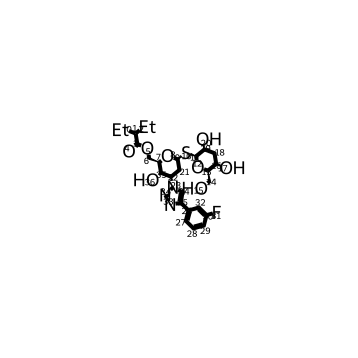 CCC(CC)C(=O)OC[C@H]1O[C@@H](S[C@@H]2O[C@H](CO)[C@H](O)C[C@H]2O)C[C@@H](n2cc(-c3cccc(F)c3)nn2)[C@H]1O